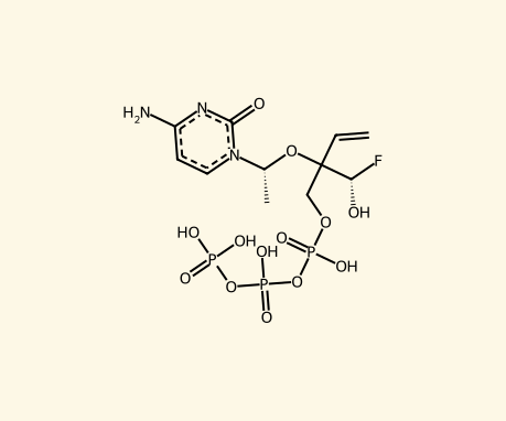 C=CC(COP(=O)(O)OP(=O)(O)OP(=O)(O)O)(O[C@H](C)n1ccc(N)nc1=O)[C@@H](O)F